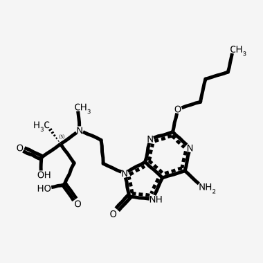 CCCCOc1nc(N)c2[nH]c(=O)n(CCN(C)[C@@](C)(CC(=O)O)C(=O)O)c2n1